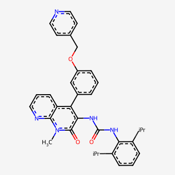 CC(C)c1cccc(C(C)C)c1NC(=O)Nc1c(-c2cccc(OCc3ccncc3)c2)c2cccnc2n(C)c1=O